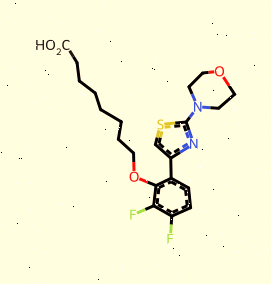 O=C(O)CCCCCCCOc1c(-c2csc(N3CCOCC3)n2)ccc(F)c1F